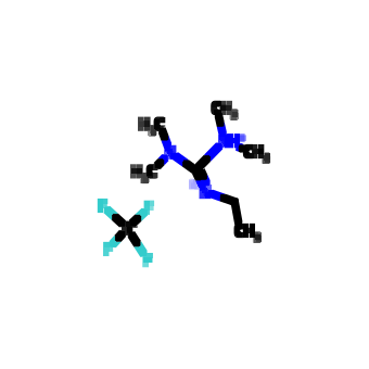 CC/N=C(/N(C)C)[NH+](C)C.F[B-](F)(F)F